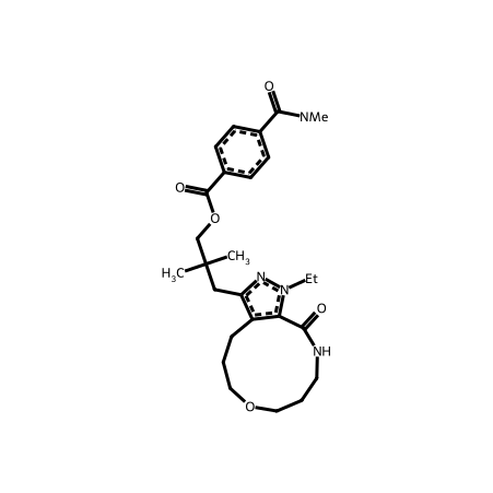 CCn1nc(CC(C)(C)COC(=O)c2ccc(C(=O)NC)cc2)c2c1C(=O)NCCCOCCC2